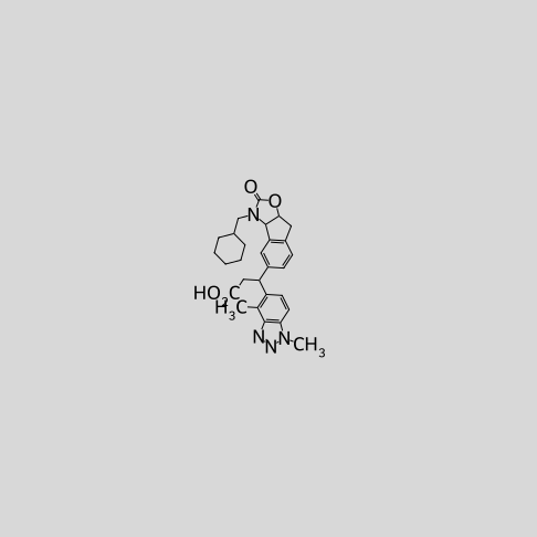 Cc1c(C(CC(=O)O)c2ccc3c(c2)C2C(C3)OC(=O)N2CC2CCCCC2)ccc2c1nnn2C